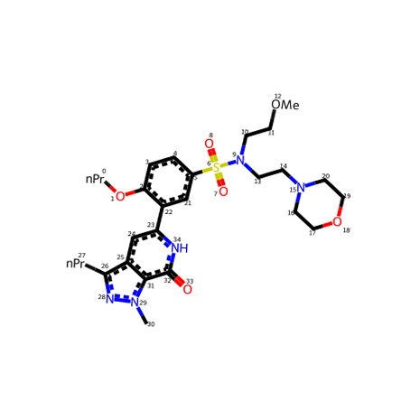 CCCOc1ccc(S(=O)(=O)N(CCOC)CCN2CCOCC2)cc1-c1cc2c(CCC)nn(C)c2c(=O)[nH]1